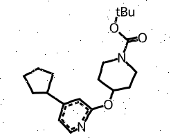 CC(C)(C)OC(=O)N1CCC(Oc2cc(C3CCCC3)ccn2)CC1